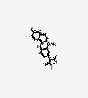 COc1cc(-c2c(C)n[nH]c2C)ccc1Nc1ccnc2cc(C)ccc12